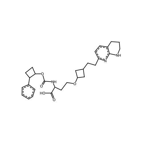 O=C(NC(CCOC1CC(CCc2ccc3c(n2)NCCC3)C1)C(=O)O)OC1CCC1c1ccccc1